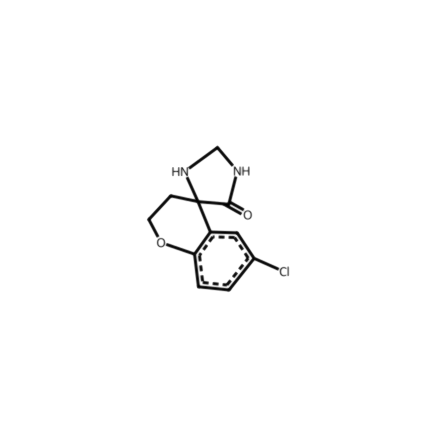 O=C1NCNC12CCOc1ccc(Cl)cc12